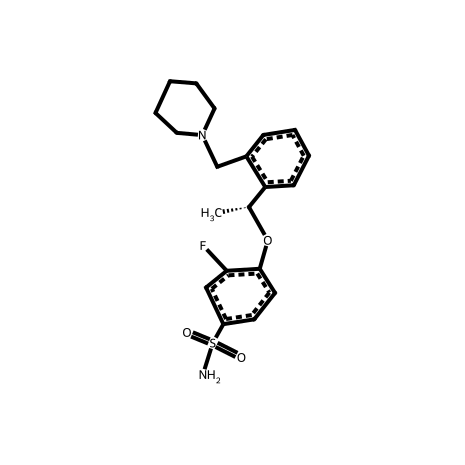 C[C@@H](Oc1ccc(S(N)(=O)=O)cc1F)c1ccccc1CN1CCCCC1